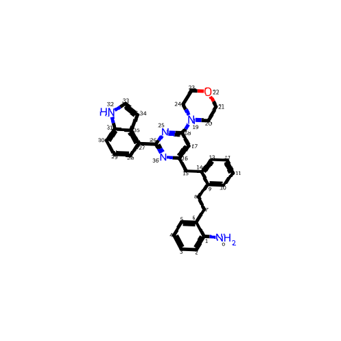 Nc1ccccc1CCc1ccccc1Cc1cc(N2CCOCC2)nc(-c2cccc3[nH]ccc23)n1